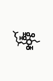 CCCc1cc(O)c(C/C=C(\C)CCC=C(C)C)c(O)c1C(=O)O